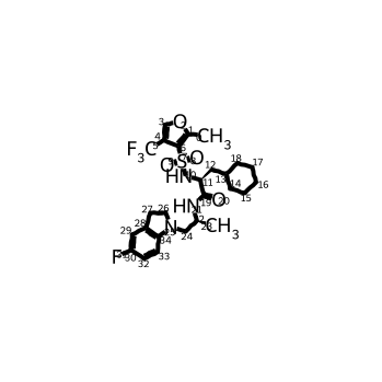 Cc1occ(C(F)(F)F)c1S(=O)(=O)N[C@@H](CC1CCCCC1)C(=O)N[C@@H](C)CN1CCc2cc(F)ccc21